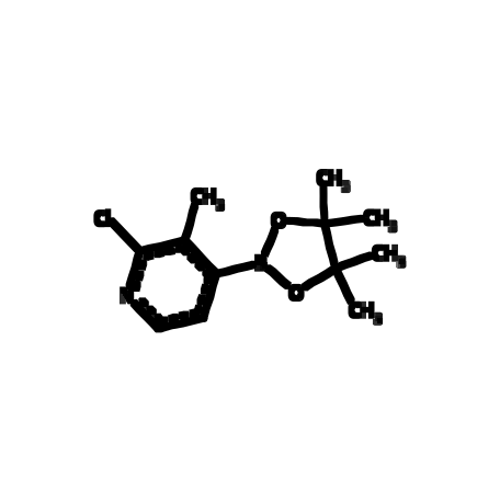 Cc1c(B2OC(C)(C)C(C)(C)O2)ccnc1Cl